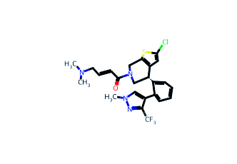 CN(C)C/C=C/C(=O)N1Cc2sc(Cl)cc2[C@H](c2ccccc2-c2cn(C)nc2C(F)(F)F)C1